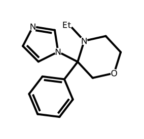 CCN1CCOCC1(c1ccccc1)n1ccnc1